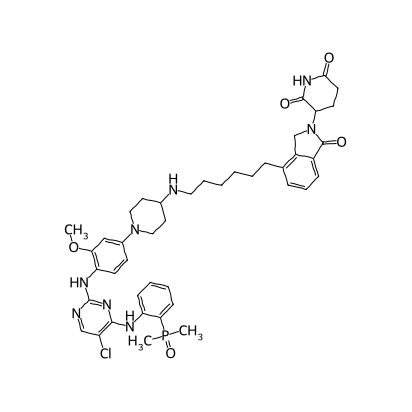 COc1cc(N2CCC(NCCCCCCc3cccc4c3CN(C3CCC(=O)NC3=O)C4=O)CC2)ccc1Nc1ncc(Cl)c(Nc2ccccc2P(C)(C)=O)n1